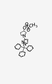 CS(=O)(=O)OC1CCN(c2ccn(C(c3ccccc3)(c3ccccc3)c3ccccc3)n2)C1